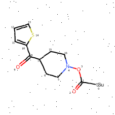 CC(C)(C)C(=O)ON1CCC(C(=O)c2cccs2)CC1